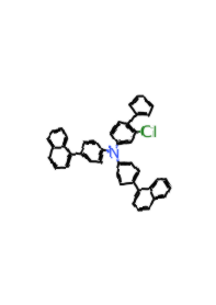 Clc1cc(N(c2ccc(-c3cccc4ccccc34)cc2)c2ccc(-c3cccc4ccccc34)cc2)ccc1-c1ccccc1